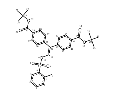 Cc1ccccc1S(=O)(=O)NN=C(c1ccc(C(=O)OC(C)(C)C)cc1)c1ccc(C(=O)OC(C)(C)C)cc1